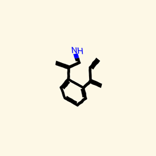 C=CC(=C)c1ccccc1C(=C)C=N